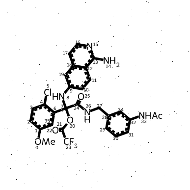 COc1ccc(Cl)c(C(Nc2ccc3c(N)nccc3c2)(OC(=O)C(F)(F)F)C(=O)NCc2cccc(NC(C)=O)c2)c1